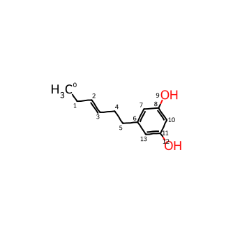 CCC=CCCc1cc(O)cc(O)c1